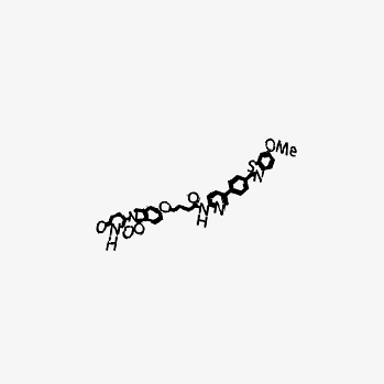 COc1ccc2nc(-c3ccc(-c4ccc(NC(=O)CCCOc5ccc6c(c5)CN(C5CCC(=O)NC5=O)C6=O)nc4)cc3)sc2c1